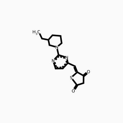 CCC1CCCN(c2nccc(/C=C3\SC(=O)CC3=O)n2)C1